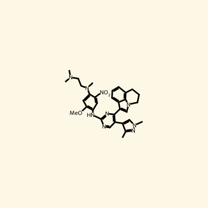 COc1cc(N(C)CCN(C)C)c([N+](=O)[O-])cc1Nc1ncc(-c2cn(C)nc2C)c(-c2cn3c4c(cccc24)CCC3)n1